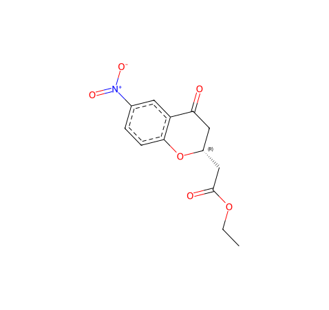 CCOC(=O)C[C@H]1CC(=O)c2cc([N+](=O)[O-])ccc2O1